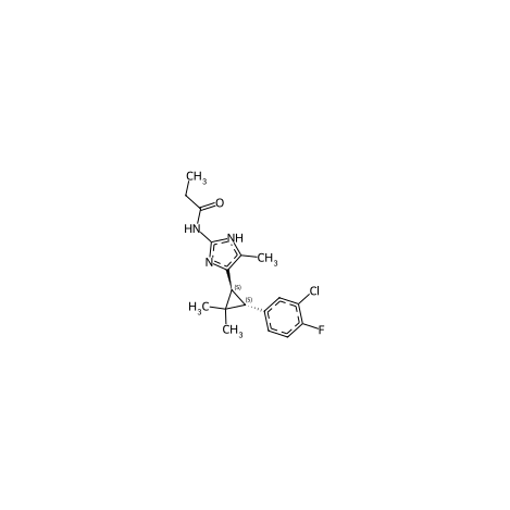 CCC(=O)Nc1nc([C@H]2[C@H](c3ccc(F)c(Cl)c3)C2(C)C)c(C)[nH]1